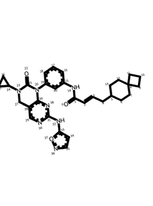 O=C(/C=C/CC1CCC2(CCC2)CC1)Nc1cccc(N2C(=O)N(C3CC3)Cc3cnc(Nc4ccno4)nc32)c1